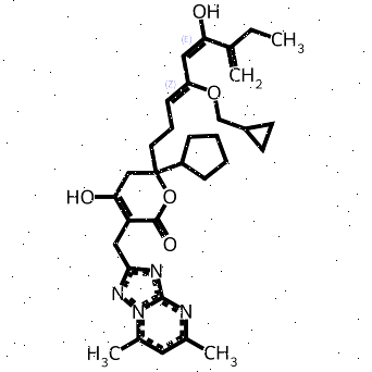 C=C(CC)/C(O)=C\C(=C\CCC1(C2CCCC2)CC(O)=C(Cc2nc3nc(C)cc(C)n3n2)C(=O)O1)OCC1CC1